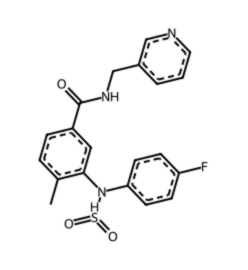 Cc1ccc(C(=O)NCc2cccnc2)cc1N(c1ccc(F)cc1)[SH](=O)=O